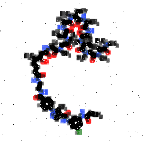 C=CC(=O)Nc1cc(Cl)cc(NC(=O)c2cnn(-c3ccc(C(=O)NCCNC(=O)CCC[C@@H](C)[C@@H](O)CC(=O)N[C@@H](CC)C(=O)N(C)CC(=O)N(C)[C@@H](CC(C)C)C(=O)NC(C(=O)N(C)[C@@H](CC(C)C)C(=O)N[C@@H](C)C(=O)N[C@H](C)C(=O)N(C)[C@@H](CC(C)C)C(=O)N(C)CC(=O)N(C)C(C(=O)N(C)C)C(C)C)C(C)C)cc3)c2C(F)(F)F)c1